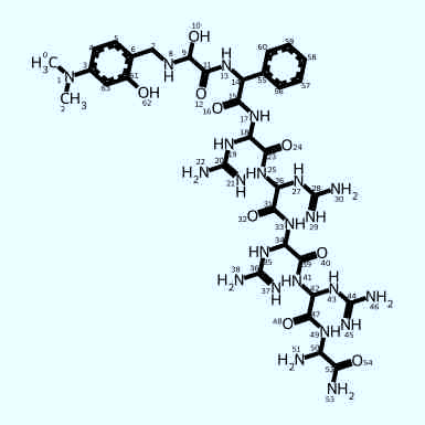 CN(C)c1ccc(CNC(O)C(=O)NC(C(=O)NC(NC(=N)N)C(=O)NC(NC(=N)N)C(=O)NC(NC(=N)N)C(=O)NC(NC(=N)N)C(=O)NC(N)C(N)=O)c2ccccc2)c(O)c1